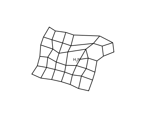 NC12C3C4CC5C4C46C5C5C7C8CC9C%10C%11C%12CC%13C%14C%15C%16C%17CC%18C3C13C%18%17C%161C%15%16C%14%15C%12%13C%11%12C%10%11C98C78C54C45C26C31C%164C%12%15C%1185